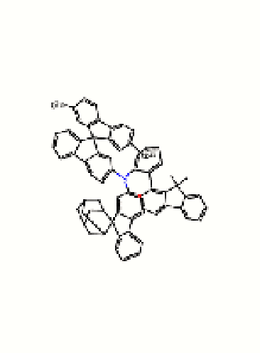 CC(C)(C)c1ccc2c(c1)C1(c3ccccc3-c3ccc(N(c4ccc5c(c4)C4(c6ccccc6-5)C5CC6CC(C5)CC4C6)c4ccccc4-c4cccc5c4C(C)(C)c4ccccc4-5)cc31)c1cc(C(C)(C)C)ccc1-2